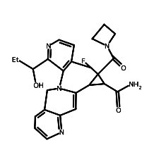 CCC(O)c1nccc(C)c1N1Cc2cccnc2C=C1C1C(C(N)=O)C1(F)C(=O)N1CCC1